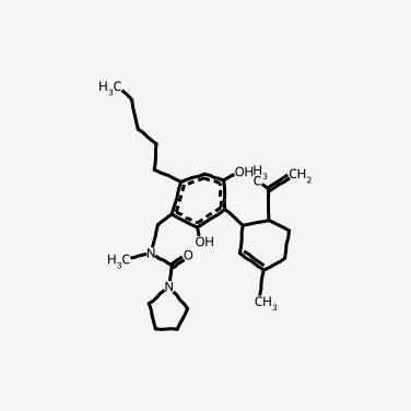 C=C(C)C1CCC(C)=CC1c1c(O)cc(CCCCC)c(CN(C)C(=O)N2CCCC2)c1O